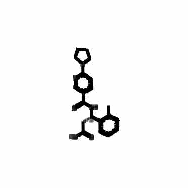 Cc1ccccc1[C@H](CC(=O)O)NC(=O)c1ccc(N2CCCC2)nc1